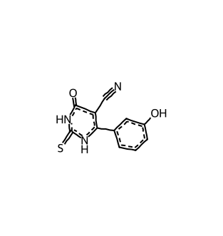 N#Cc1c(-c2cccc(O)c2)[nH]c(=S)[nH]c1=O